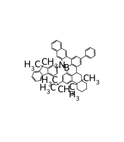 CC(C)(C)c1cc2c3c(c1)C1(C)CCCCC1(C)CC3c1cc(-c3ccccc3)cc3c1B2N(c1ccc2c(c1)C(C)(C)c1ccccc1-2)c1cc2ccccc2cc1-3